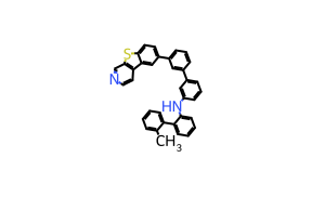 Cc1ccccc1-c1ccccc1Nc1cccc(-c2cccc(-c3ccc4sc5cnccc5c4c3)c2)c1